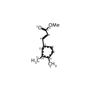 COC(=O)/C=C/c1ccc(C)c(C)c1